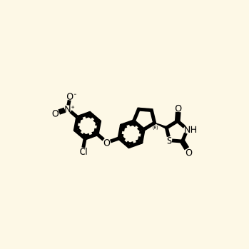 O=C1NC(=O)C([C@@H]2CCc3cc(Oc4ccc([N+](=O)[O-])cc4Cl)ccc32)S1